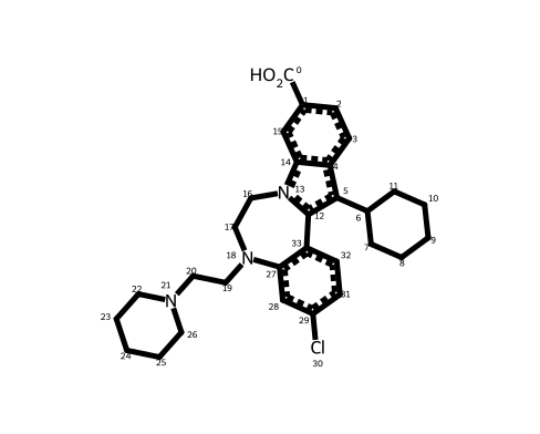 O=C(O)c1ccc2c(C3CCCCC3)c3n(c2c1)CCN(CCN1CCCCC1)c1cc(Cl)ccc1-3